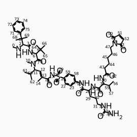 CNC(C(=O)NC(C(=O)N(C)C(C=C(C)C(=O)NS(=O)(=O)c1ccc(NC(=O)C(CCCNC(N)=O)NC(=O)C(NC(=O)CCCCCN2C(=O)C=CC2=O)C(C)C)cc1)C(C)C)C(C)(C)C)C(C)(C)c1ccccc1